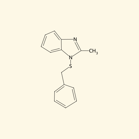 Cc1nc2ccccc2n1SCc1ccccc1